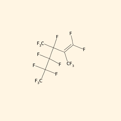 FC(F)=C(C(F)(F)F)C(F)(C(F)(F)F)C(F)(F)C(F)(F)C(F)(F)F